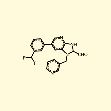 O=CC1Nc2ncc(-c3cccc(C(F)F)c3)cc2N1Cc1cccnc1